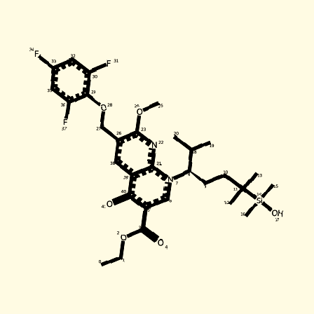 CCOC(=O)c1cn([C@H](CCC(C)(C)[Si](C)(C)O)C(C)C)c2nc(OC)c(COc3c(F)cc(F)cc3F)cc2c1=O